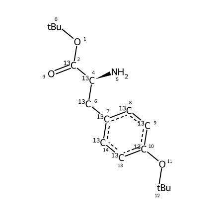 CC(C)(C)O[13C](=O)[13C@@H](N)[13CH2][13c]1[13cH][13cH][13c](OC(C)(C)C)[13cH][13cH]1